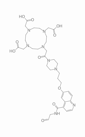 O=CCNC(=O)c1ccnc2ccc(OCCCN3CCN(C(=O)CN4CCN(CC(=O)O)CCN(CC(=O)O)CCN(CC(=O)O)CC4)CC3)cc12